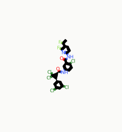 C=C(F)c1ccc(NC(=O)c2cc(NC(=O)[C@@H]3[C@@H](c4cc(Cl)cc(Cl)c4)C3(Cl)Cl)ccc2Cl)nc1F